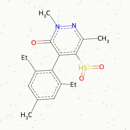 CCc1cc(C)cc(CC)c1-c1c([SH](=O)=O)c(C)nn(C)c1=O